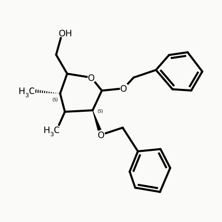 CC1[C@H](C)C(CO)OC(OCc2ccccc2)[C@H]1OCc1ccccc1